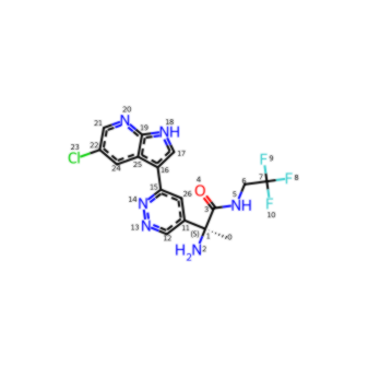 C[C@@](N)(C(=O)NCC(F)(F)F)c1cnnc(-c2c[nH]c3ncc(Cl)cc23)c1